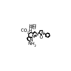 Cl.Cl.Nc1ccc(CC(C(=O)O)c2cn(C3CCN(c4ccccc4)C3=O)cn2)cn1